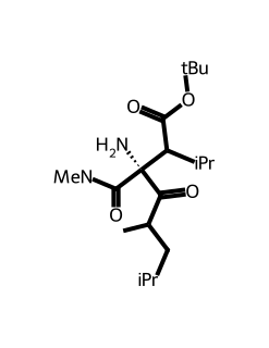 CNC(=O)[C@](N)(C(=O)C(C)CC(C)C)C(C(=O)OC(C)(C)C)C(C)C